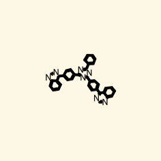 c1ccc(-c2nc(-c3ccc(-c4ncnc5ccccc45)cc3)nc(-c3ccc(-c4ncnc5ccccc45)cc3)n2)cc1